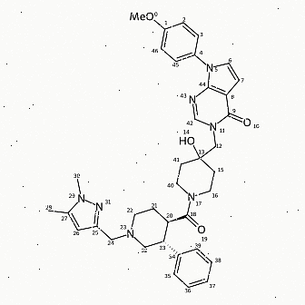 COc1ccc(-n2ccc3c(=O)n(CC4(O)CCN(C(=O)[C@@H]5CCN(Cc6cc(C)n(C)n6)C[C@H]5c5ccccc5)CC4)cnc32)cc1